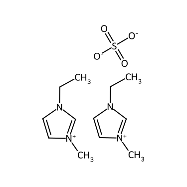 CCn1cc[n+](C)c1.CCn1cc[n+](C)c1.O=S(=O)([O-])[O-]